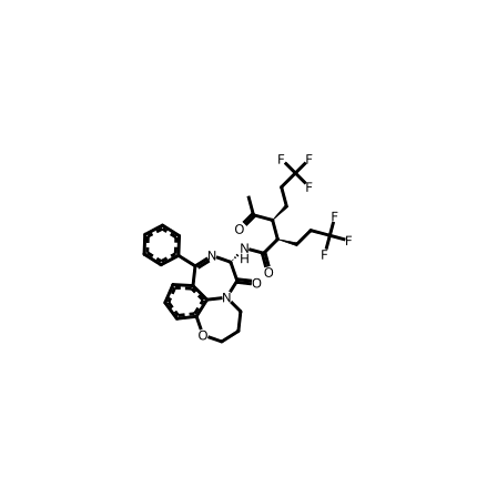 CC(=O)[C@@H](CCC(F)(F)F)[C@@H](CCC(F)(F)F)C(=O)N[C@H]1N=C(c2ccccc2)c2cccc3c2N(CCCO3)C1=O